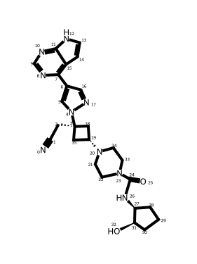 N#CC[C@]1(n2cc(-c3ncnc4[nH]ccc34)cn2)C[C@H](N2CCN(C(=O)N[C@H]3CCC[C@H]3O)CC2)C1